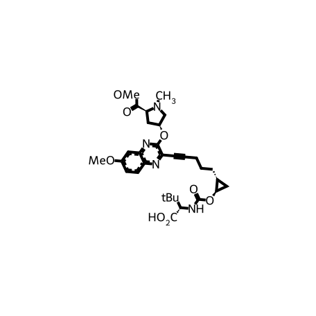 COC(=O)[C@@H]1C[C@@H](Oc2nc3cc(OC)ccc3nc2C#CCCC[C@@H]2C[C@H]2OC(=O)N[C@H](C(=O)O)C(C)(C)C)CN1C